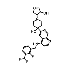 OC1COCC1N1CCC(O)(c2cc3c(NCc4cccc(C(F)F)c4F)ccnc3cn2)CC1